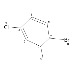 CC1C=C(Cl)C=CC1Br